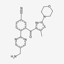 Cc1sc(N2CCOCC2)nc1C(=O)c1cc(C#N)ccc1-c1ncc(CN)cn1